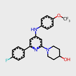 OC1CCN(c2cc(Nc3ccc(OC(F)(F)F)cc3)cc(-c3ccc(F)cc3)n2)CC1